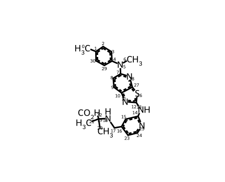 Cc1ccc(N(C)c2ccc3nc(Nc4cc(CNC(C)(C)C(=O)O)ccn4)sc3n2)cc1